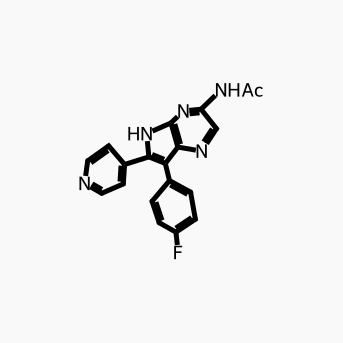 CC(=O)Nc1cnc2c(-c3ccc(F)cc3)c(-c3ccncc3)[nH]c2n1